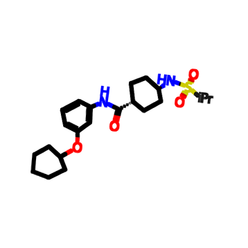 CC(C)S(=O)(=O)N[C@H]1CC[C@H](C(=O)Nc2cccc(OC3CCCCC3)c2)CC1